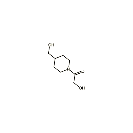 O=C(CO)N1CCC(CO)CC1